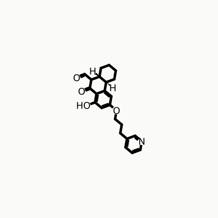 O=CC1C(=O)c2c(O)cc(OCCCc3cccnc3)cc2[C@@H]2CCCC[C@@H]12